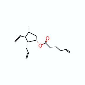 C=CCCCC(=O)O[C@H]1C[C@@H](C)[C@H](C=C)[C@H]1CC=C